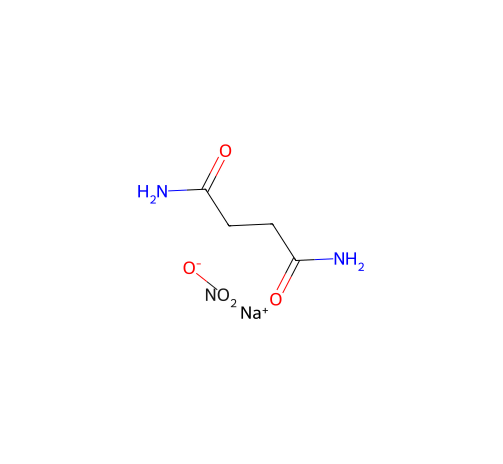 NC(=O)CCC(N)=O.O=[N+]([O-])[O-].[Na+]